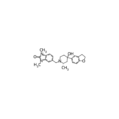 C[C@H]1C[C@@](O)(c2ccc3c(c2)CCO3)CCN1Cc1ccc2c(c1)n(C)c(=O)n2C